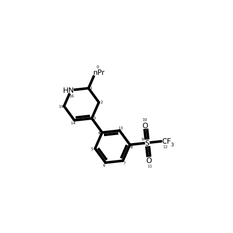 CCCC1CC(c2cccc(S(=O)(=O)C(F)(F)F)c2)=CCN1